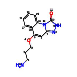 NCCCOc1cc2n[nH]c(=O)n2c2ccccc12